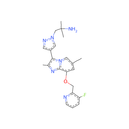 Cc1cc(OCc2ncccc2F)c2nc(C)c(-c3cnn(CC(C)(C)N)c3)n2c1